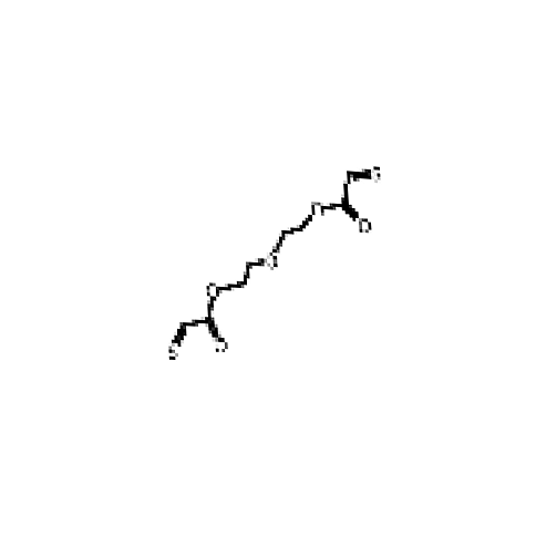 O=C(C=S)OCCOCCOC(=O)C=S